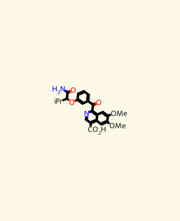 COc1cc2c(C(=O)O)cnc(C(=O)c3cccc(OC(C(N)=O)C(C)C)c3)c2cc1OC